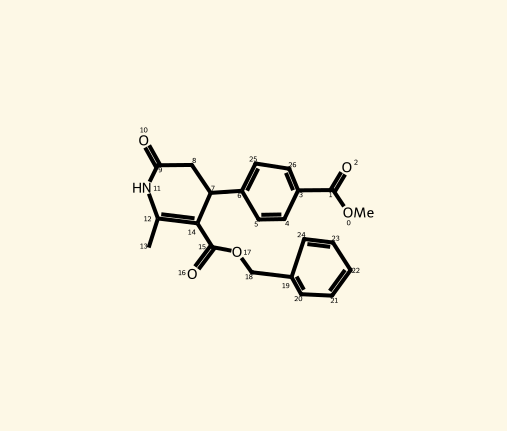 COC(=O)c1ccc(C2CC(=O)NC(C)=C2C(=O)OCc2ccccc2)cc1